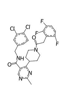 Cc1ncc(C(=O)NCc2ccc(Cl)c(Cl)c2)c(C2CCN(C(=O)Cc3c(F)ccc(F)c3F)CC2)n1